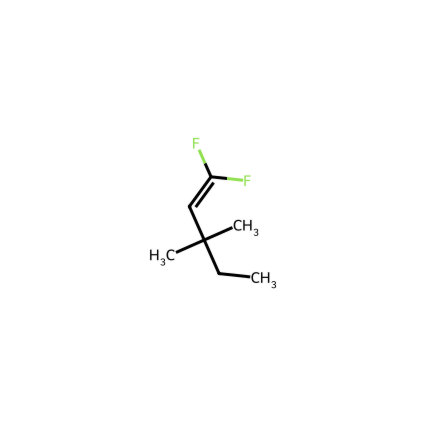 CCC(C)(C)C=C(F)F